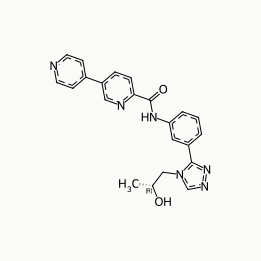 C[C@@H](O)Cn1cnnc1-c1cccc(NC(=O)c2ccc(-c3ccncc3)cn2)c1